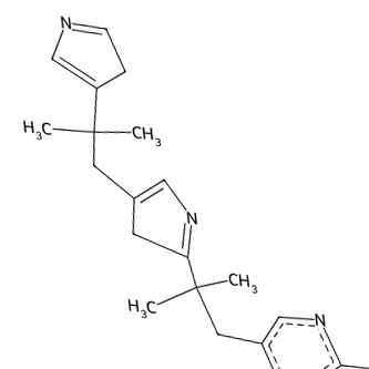 CC(C)(CC1=CN=C(C(C)(C)Cc2cnc(C(C)(C)C)nc2)C1)C1=CN=CC1